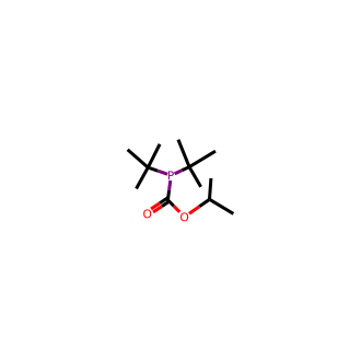 CC(C)OC(=O)P(C(C)(C)C)C(C)(C)C